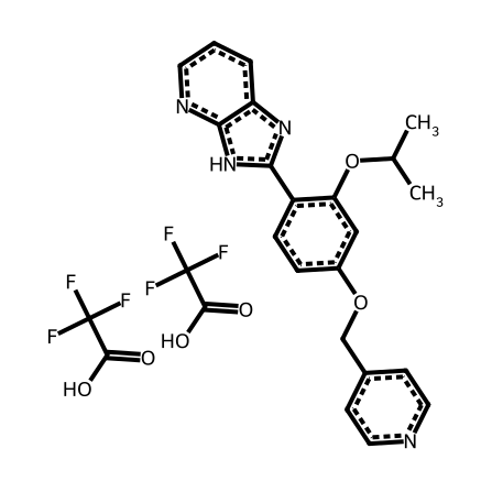 CC(C)Oc1cc(OCc2ccncc2)ccc1-c1nc2cccnc2[nH]1.O=C(O)C(F)(F)F.O=C(O)C(F)(F)F